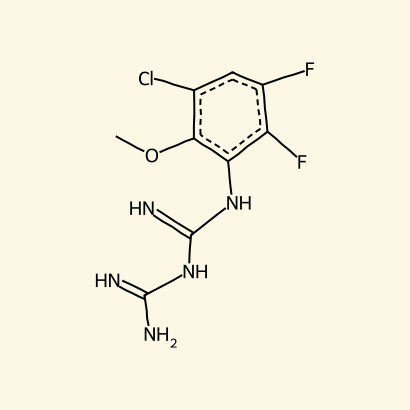 COc1c(Cl)cc(F)c(F)c1NC(=N)NC(=N)N